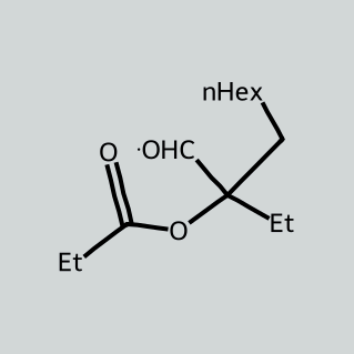 CCCCCCCC([C]=O)(CC)OC(=O)CC